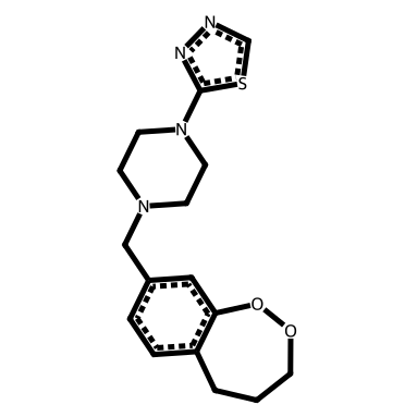 c1nnc(N2CCN(Cc3ccc4c(c3)OOCCC4)CC2)s1